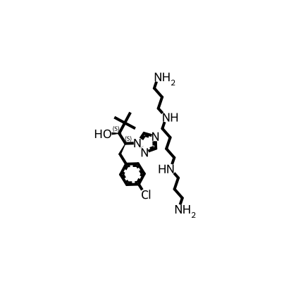 CC(C)(C)[C@H](O)[C@H](Cc1ccc(Cl)cc1)n1cncn1.NCCCNCCCCNCCCN